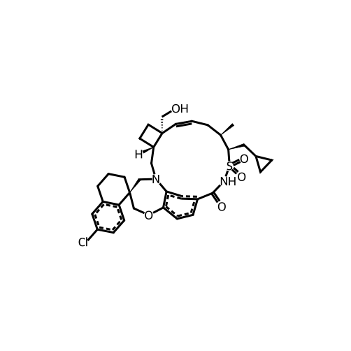 C[C@@H]1C/C=C\[C@]2(CO)CC[C@H]2CN2C[C@@]3(CCCc4cc(Cl)ccc43)COc3ccc(cc32)C(=O)NS(=O)(=O)[C@@H]1CC1CC1